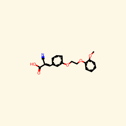 COc1ccccc1OCCOc1cccc(/C=C(\C#N)C(=O)O)c1